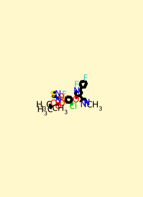 Cn1cc(-c2cc(-c3ccc(F)cc3F)ncc2Oc2cc(F)c(S(=O)(=O)N(C(=O)OC(C)(C)C)c3cscn3)cc2Cl)cn1